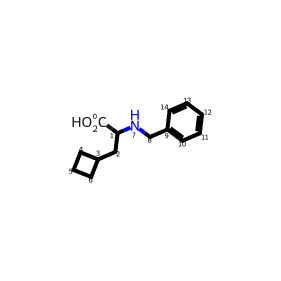 O=C(O)C(CC1CCC1)NCc1ccccc1